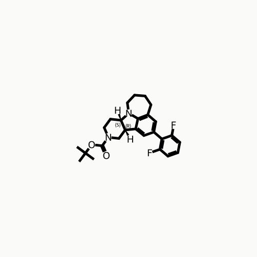 CC(C)(C)OC(=O)N1CC[C@H]2[C@@H](C1)c1cc(-c3c(F)cccc3F)cc3c1N2CCCC3